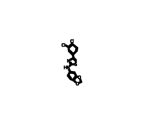 Clc1ccc(-c2csc(Nc3ccc4c(c3)OCO4)n2)cc1Cl